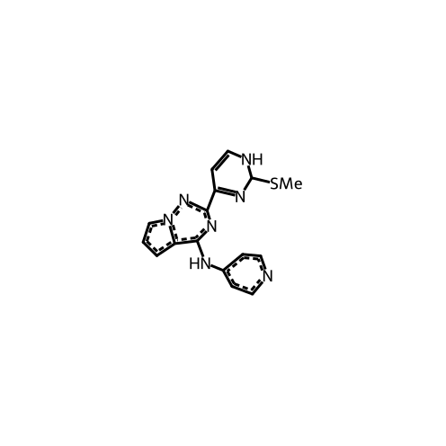 CSC1N=C(c2nc(Nc3ccncc3)c3cccn3n2)C=CN1